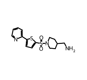 NCC1CCN(S(=O)(=O)c2ccc(-c3ccccn3)s2)CC1